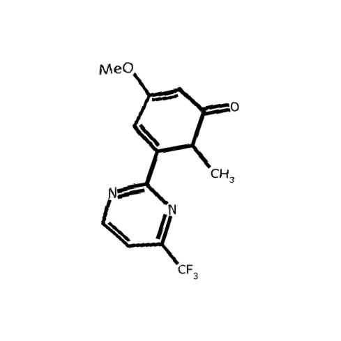 COC1=CC(=O)C(C)C(c2nccc(C(F)(F)F)n2)=C1